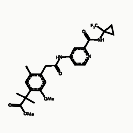 COC(=O)C(C)(C)c1cc(C)c(CC(=O)Nc2ccnc(C(=O)NC3(C(F)(F)F)CC3)c2)cc1OC